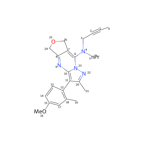 CC#CCN(CCC)c1c2c(nc3c(-c4ccc(OC)cc4C)c(C)nn13)COC2